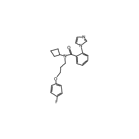 O=C(c1ccccc1-n1ccnc1)N(CCCOc1ccc(F)cc1)C1CCC1